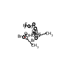 CCCCCCCOc1ccc(Br)cc1C(=O)N[C@@H](Cc1ccc(-c2ccccc2Oc2ccc(C(F)(F)F)cc2)cc1)C(=O)O.CCCCCCCOc1ccc(Br)cc1C(=O)O